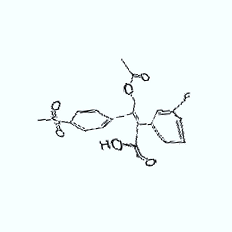 CC(=O)OCC(=C(C(=O)O)c1cccc(F)c1)c1ccc(S(C)(=O)=O)cc1